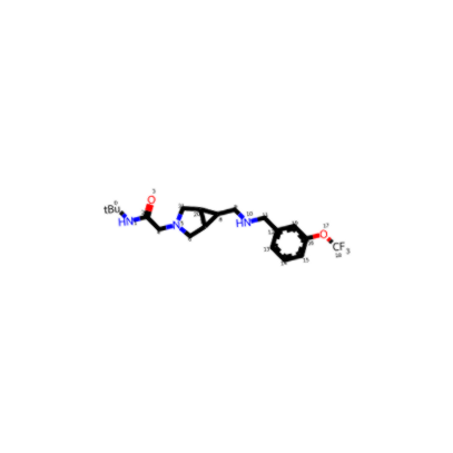 CC(C)(C)NC(=O)CN1CC2C(CNCc3cccc(OC(F)(F)F)c3)C2C1